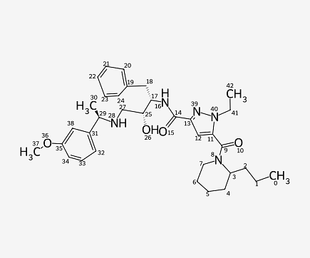 CCCC1CCCCN1C(=O)c1cc(C(=O)N[C@@H](Cc2ccccc2)[C@H](O)CN[C@H](C)c2cccc(OC)c2)nn1CC